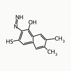 Cc1cc2cc(S)c(N=N)c(O)c2cc1C